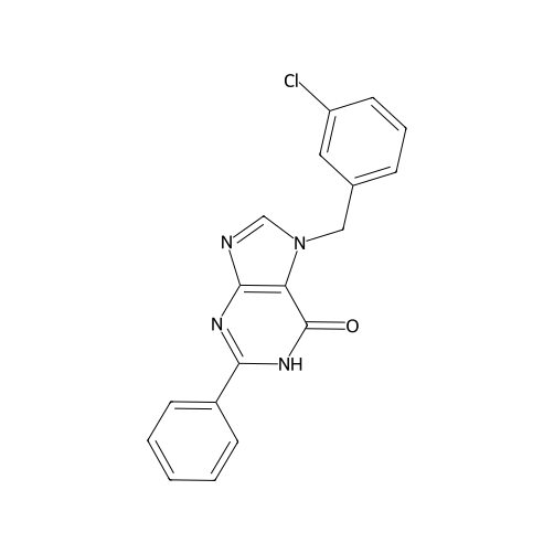 O=c1[nH]c(-c2ccccc2)nc2ncn(Cc3cccc(Cl)c3)c12